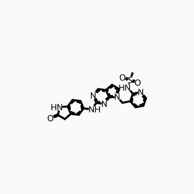 CS(=O)(=O)Nc1ncccc1Cn1ccc2cnc(Nc3ccc4c(c3)CC(=O)N4)nc21